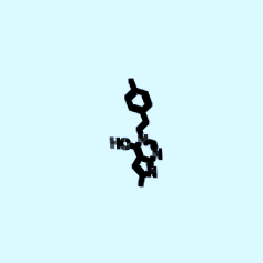 Cc1ccc(CCn2cnc3nc(C)cc-3c2O)cc1